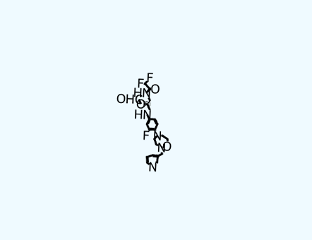 O=CO[C@@H](CNC(=O)C(F)F)CNc1ccc(N2CCON(Cc3cccnc3)CC2)c(F)c1